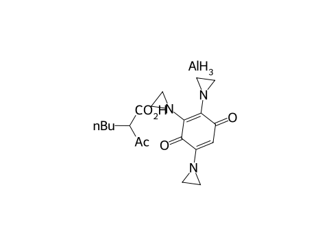 CCCCC(C(C)=O)C(=O)O.O=C1C=C(N2CC2)C(=O)C(N2CC2)=C1N1CC1.[AlH3]